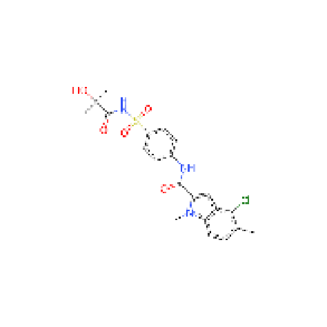 Cc1ccc2c(cc(C(=O)Nc3ccc(S(=O)(=O)NC(=O)C(C)(C)O)cc3)n2C)c1Cl